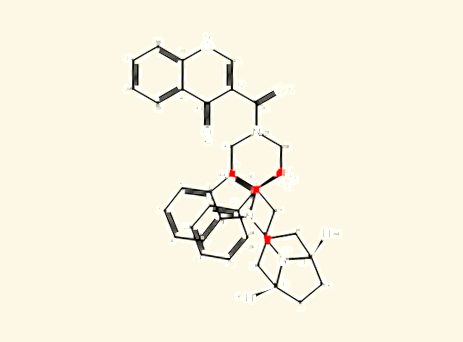 Cc1nc2ccccc2n1C1C[C@H]2CC[C@@H](C1)N2CCC1(c2ccccc2)CCN(C(=O)c2coc3ccccc3c2=O)CC1